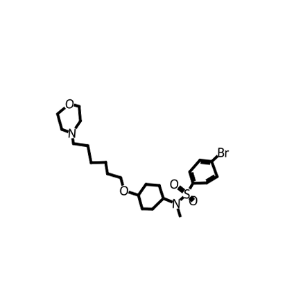 CN(C1CCC(OCCCCCCN2CCOCC2)CC1)S(=O)(=O)c1ccc(Br)cc1